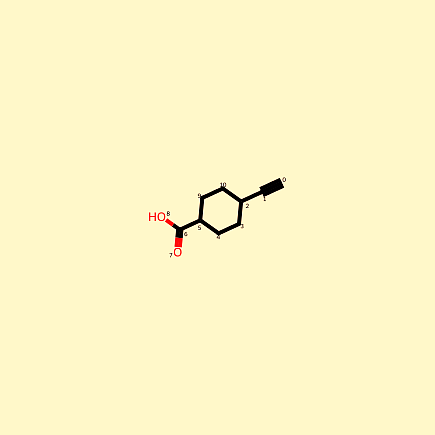 C#CC1CCC(C(=O)O)CC1